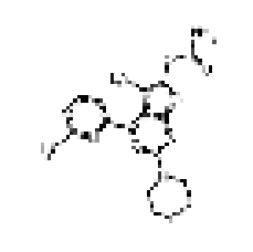 Cc1cccc(-c2nc(N3CCOCC3)nc3sc(OC(N)=O)c(N)c23)n1